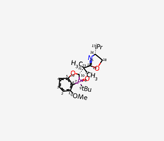 COc1cccc2c1P(=O)(C(C)(C)C)[C@@H](C(C)(C)C1=N[C@H](C(C)C)CO1)O2